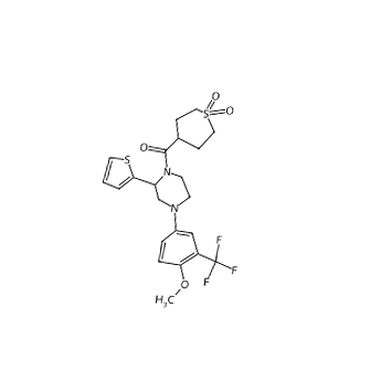 COc1ccc(N2CCN(C(=O)C3CCS(=O)(=O)CC3)C(c3cccs3)C2)cc1C(F)(F)F